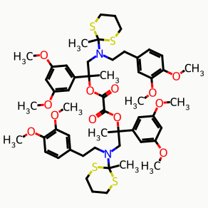 COc1cc(OC)cc(C(C)(CN(CCc2ccc(OC)c(OC)c2)C2(C)SCCCS2)OC(=O)C(=O)OC(C)(CN(CCc2ccc(OC)c(OC)c2)C2(C)SCCCS2)c2cc(OC)cc(OC)c2)c1